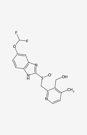 Cc1ccnc(C[S+]([O-])c2nc3cc(OC(F)F)ccc3[nH]2)c1CO